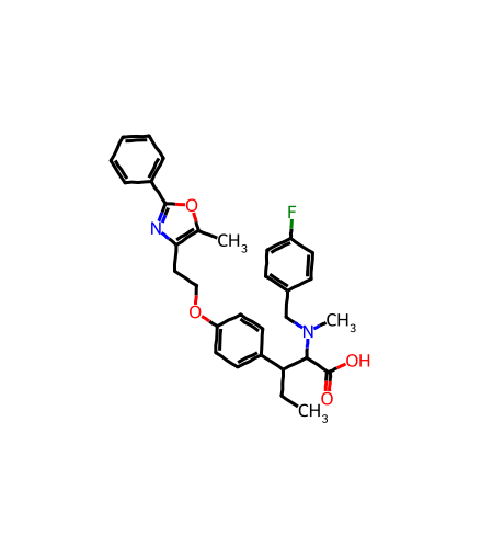 CCC(c1ccc(OCCc2nc(-c3ccccc3)oc2C)cc1)C(C(=O)O)N(C)Cc1ccc(F)cc1